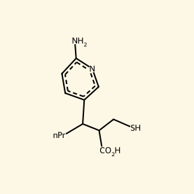 CCCC(c1ccc(N)nc1)C(CS)C(=O)O